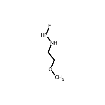 COCCNPF